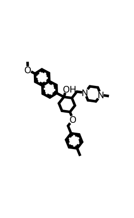 COc1ccc2cc(C3(O)CCC(OCc4ccc(C)cc4)CC3CN3CCN(C)CC3)ccc2c1